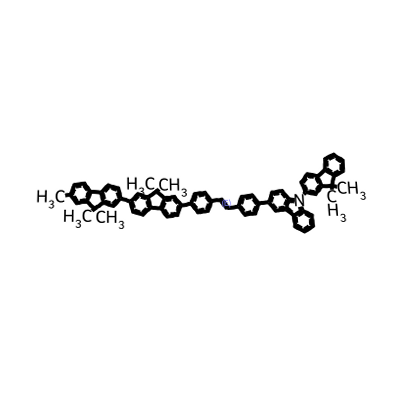 Cc1ccc2c(c1)C(C)(C)c1cc(-c3ccc4c(c3)C(C)(C)c3cc(-c5ccc(/C=C/c6ccc(-c7ccc8c(c7)c7ccccc7n8-c7ccc8c(c7)C(C)(C)c7ccccc7-8)cc6)cc5)ccc3-4)ccc1-2